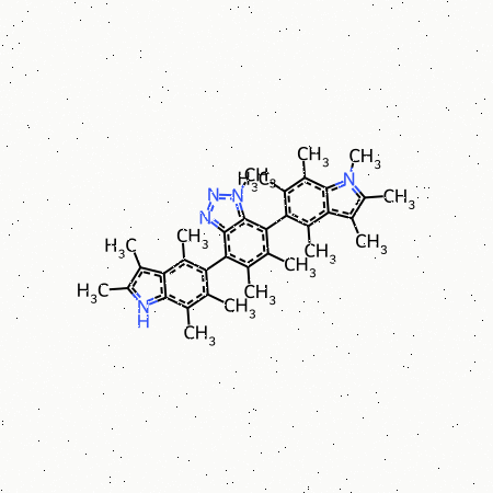 Cc1[nH]c2c(C)c(C)c(-c3c(C)c(C)c(-c4c(C)c(C)c5c(c4C)c(C)c(C)n5C)c4c3nnn4C)c(C)c2c1C